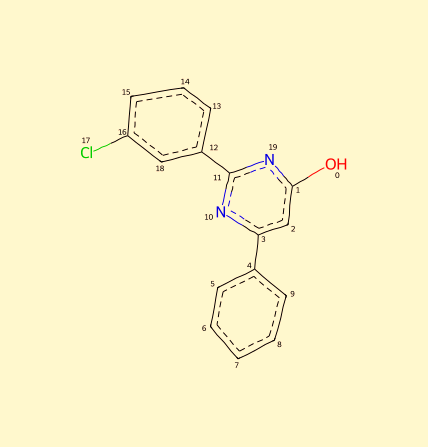 Oc1cc(-c2ccccc2)nc(-c2cccc(Cl)c2)n1